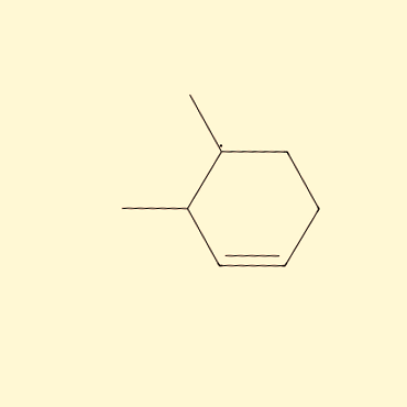 C[C]1CCC=CC1C